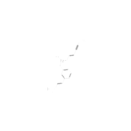 CCN(CC=CC#CC(C)(C)C)Cc1cccc(/C=C/C(=O)O)c1